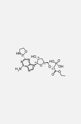 CCOC(=O)[C@H](OC[C@@H]1C[C@@H](O)[C@H](n2cnc3c(N)nc([C@@H]4NCCO4)nc32)O1)P(=O)(O)O